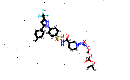 Cc1ccc(-c2cc(C(F)(F)F)nn2-c2ccc(S(=O)(=O)NC(=O)C3CCCN(n4on4OCOC(=O)OC(C)C)C3)cc2)cc1